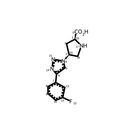 O=C(O)[C@@H]1C[C@H](n2cc(-c3cccc(F)c3)nn2)CN1